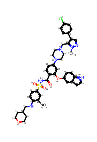 Cn1ncc(-c2ccc(Cl)cc2)c1CN1CCN(c2ccc(C(=O)NS(=O)(=O)c3ccc(NCC4CCOCC4)c([N+](=O)[O-])c3)c(Oc3ccc4[nH]ccc4c3)c2)CC1